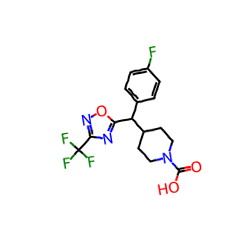 O=C(O)N1CCC(C(c2ccc(F)cc2)c2nc(C(F)(F)F)no2)CC1